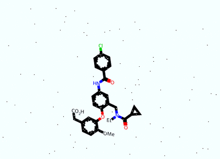 CCN(Cc1cc(NC(=O)c2ccc(Cl)cc2)ccc1Oc1cc(CC(=O)O)ccc1OC)C(=O)C1CC1